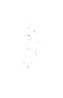 Cl.O[C@@H](CN1CCC(Cc2ccc(F)cc2)CC1)c1ccc(Cl)cc1